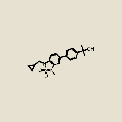 CN1c2cc(-c3ccc(C(C)(C)O)cc3)ccc2N(CC2CC2)S1(=O)=O